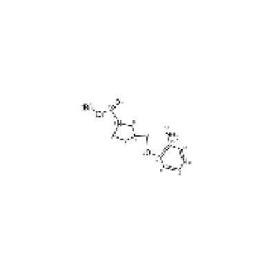 CC(C)(C)OC(=O)N1CCC(COc2ccncc2N)C1